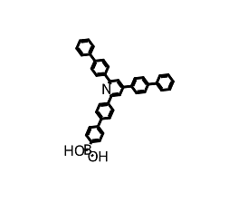 OB(O)c1ccc(-c2ccc(-c3cc(-c4ccc(-c5ccccc5)cc4)cc(-c4ccc(-c5ccccc5)cc4)n3)cc2)cc1